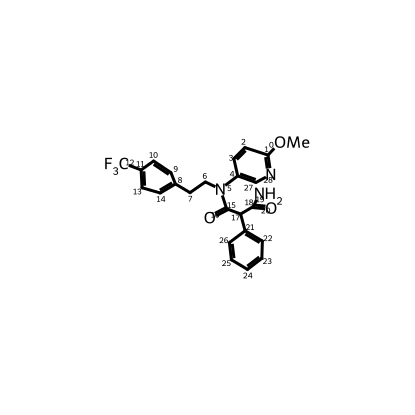 COc1ccc(N(CCc2ccc(C(F)(F)F)cc2)C(=O)C(C(N)=O)c2ccccc2)cn1